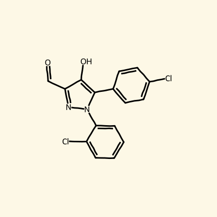 O=Cc1nn(-c2ccccc2Cl)c(-c2ccc(Cl)cc2)c1O